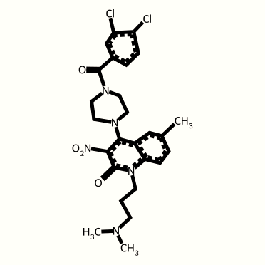 Cc1ccc2c(c1)c(N1CCN(C(=O)c3ccc(Cl)c(Cl)c3)CC1)c([N+](=O)[O-])c(=O)n2CCCN(C)C